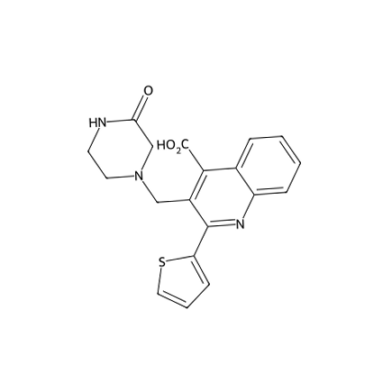 O=C1CN(Cc2c(-c3cccs3)nc3ccccc3c2C(=O)O)CCN1